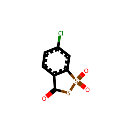 O=C1SS(=O)(=O)c2cc(Cl)ccc21